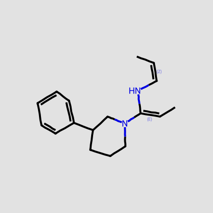 C/C=C\N/C(=C\C)N1CCCC(c2ccccc2)C1